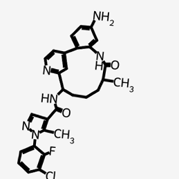 Cc1c(C(=O)NC2CCCC(C)C(=O)Nc3cc(N)ccc3-c3ccnc2c3)cnn1-c1cccc(Cl)c1F